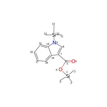 C[Si](C)(C)OC(=O)c1cn([Si](C)(C)C)c2ccccc12